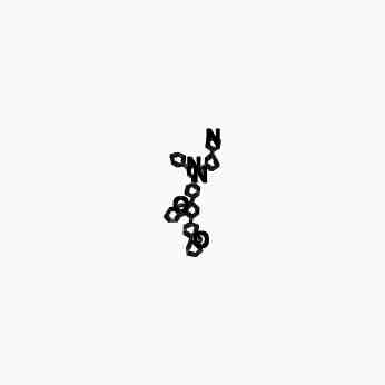 c1ccc(-c2cc(-c3ccc(-c4ccc(-c5ccc6c(c5)oc5ccccc56)c5c4oc4ccccc45)cc3)nc(-c3cccc(-c4ccncc4)c3)n2)cc1